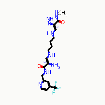 CNC(=O)/C(=C/NCCCCN/C=C(\N)C(=O)NCc1cc(C(F)(F)F)ccn1)N=N